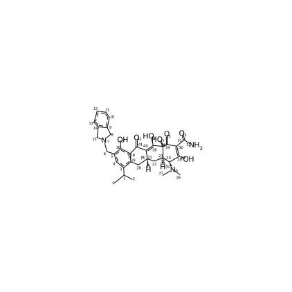 CC(C)c1cc(CN2Cc3ccccc3C2)c(O)c2c1C[C@H]1C[C@H]3[C@H](N(C)C)C(O)=C(C(N)=O)C(=O)[C@@]3(O)C(O)=C1C2=O